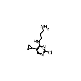 NCCCNc1nc(Cl)ncc1C1CC1